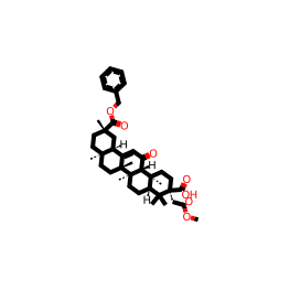 COC(=O)C[C@@]1(C(=O)O)CC[C@@]2(C)[C@H](CC[C@]3(C)[C@@H]2C(=O)C=C2[C@@H]4C[C@@](C)(C(=O)OCc5ccccc5)CC[C@]4(C)CC[C@]23C)C1(C)C